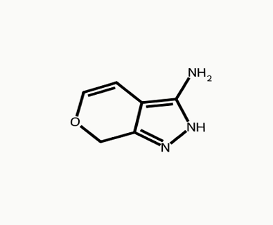 Nc1[nH]nc2c1C=COC2